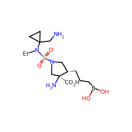 CCN(C1(CN)CC1)S(=O)(=O)N1C[C@H](CCCB(O)O)[C@](N)(C(=O)O)C1